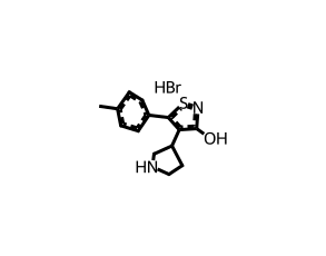 Br.Cc1ccc(-c2snc(O)c2C2CCNC2)cc1